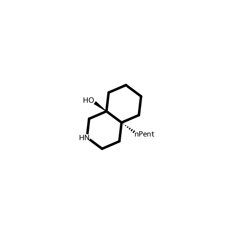 CCCCC[C@@]12CCCC[C@@]1(O)CNCC2